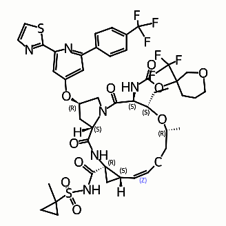 CC[C@@H]1O[C@H](C)CC/C=C\[C@@H]2C[C@@]2(C(=O)NS(=O)(=O)C2(C)CC2)NC(=O)[C@@H]2C[C@@H](Oc3cc(-c4ccc(C(F)(F)F)cc4)nc(-c4nccs4)c3)CN2C(=O)[C@H]1NC(=O)OC1(C(F)(F)F)CCCOC1